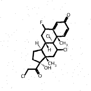 C[C@]12C=CC(=O)C=C1C(F)C[C@H]1[C@@H]3CC[C@](O)(C(=O)CCl)[C@@]3(C)CC(Cl)[C@@]12Cl